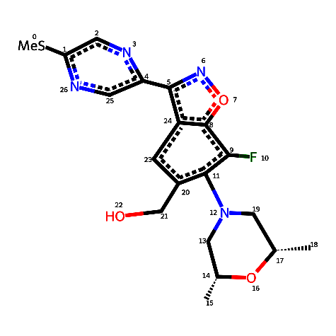 CSc1cnc(-c2noc3c(F)c(N4C[C@@H](C)O[C@@H](C)C4)c(CO)cc23)cn1